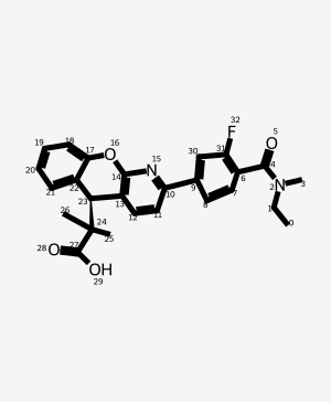 CCN(C)C(=O)c1ccc(-c2ccc3c(n2)Oc2ccccc2[C@@H]3C(C)(C)C(=O)O)cc1F